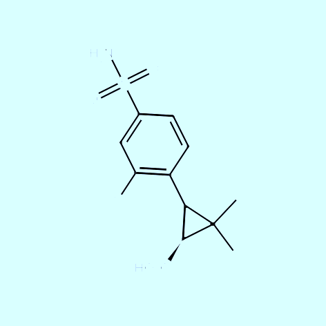 CC1(C)C(c2ccc(S(N)(=O)=O)cc2F)[C@@H]1C(=O)O